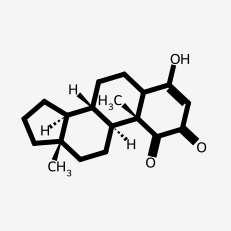 C[C@@]12CCC[C@H]1[C@@H]1CCC3C(O)=CC(=O)C(=O)[C@]3(C)[C@H]1CC2